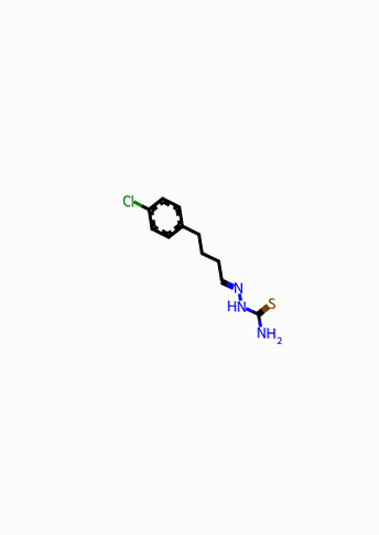 NC(=S)NN=CCCCc1ccc(Cl)cc1